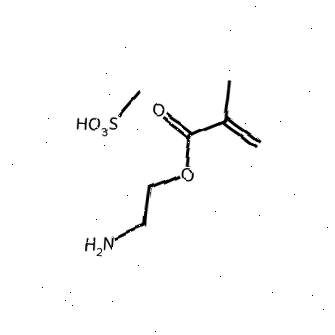 C=C(C)C(=O)OCCN.CS(=O)(=O)O